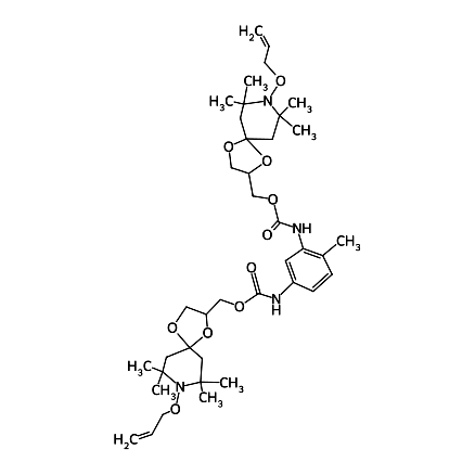 C=CCON1C(C)(C)CC2(CC1(C)C)OCC(COC(=O)Nc1ccc(C)c(NC(=O)OCC3COC4(CC(C)(C)N(OCC=C)C(C)(C)C4)O3)c1)O2